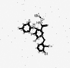 C=C(NOC(C)(C)C)c1cc(Cc2cccc(CC)c2F)c(F)c(F)c1Nc1ccc(C)cc1F